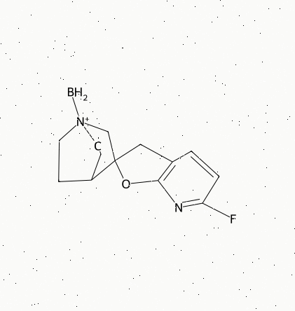 B[N+]12CCC(CC1)C1(Cc3ccc(F)nc3O1)C2